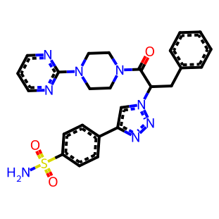 NS(=O)(=O)c1ccc(-c2cn(C(Cc3ccccc3)C(=O)N3CCN(c4ncccn4)CC3)nn2)cc1